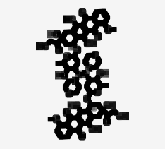 COc1cccc2c1C(=O)c1c(O)c3c(c(O)c1C2=O)C[C@@](O)(C(=O)CO)C[C@@H]3OC1CC(N(N2CCOCC2)N(C2CC(O[C@H]3C[C@](O)(C(=O)CO)Cc4c(O)c5c(c(O)c43)C(=O)c3c(OC)cccc3C5=O)OC(C)C2O)N2CCOCC2)C(O)C(C)O1